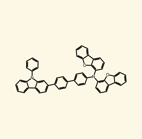 c1ccc(-n2c3ccccc3c3ccc(-c4ccc(-c5ccc(N(c6cccc7c6oc6ccccc67)c6cccc7c6oc6ccccc67)cc5)cc4)cc32)cc1